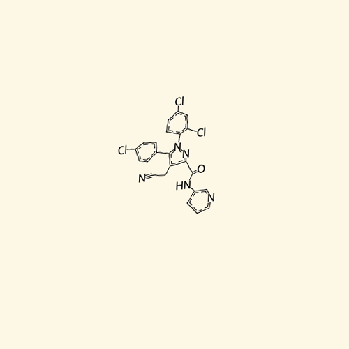 N#CCc1c(C(=O)Nc2cccnc2)nn(-c2ccc(Cl)cc2Cl)c1-c1ccc(Cl)cc1